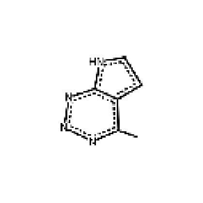 Cc1nnnc2[nH]ccc12